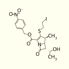 CC(O)[C@@H]1C(=O)N2C(C(=O)OCc3ccc([N+](=O)[O-])cc3)=C(SCCI)[C@@H](C)C12